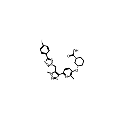 Cc1nc(-c2nnn(C)c2Cn2nnc(-c3ccc(F)cc3)n2)ccc1O[C@H]1CCC[C@H](C(=O)O)C1